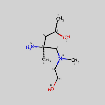 CC(O)CC(C)(N)CN(C)CCO